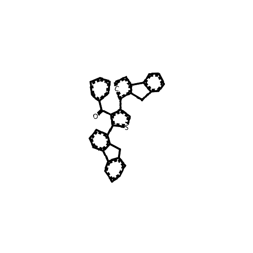 O=C(c1ccccc1)c1c(-c2cccc3c2Cc2ccccc2-3)csc1-c1cccc2c1Cc1ccccc1-2